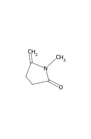 C=C1CCC(=O)N1C